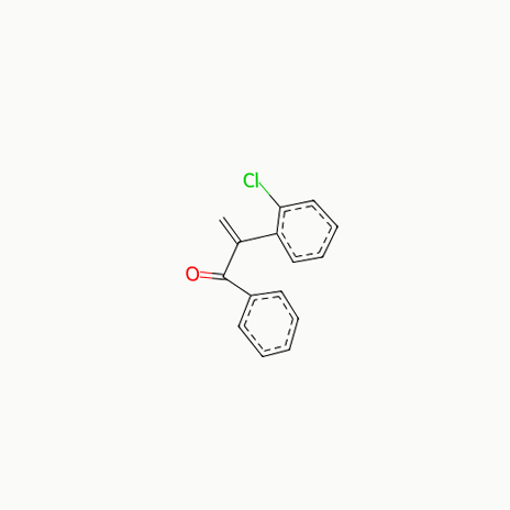 C=C(C(=O)c1ccccc1)c1ccccc1Cl